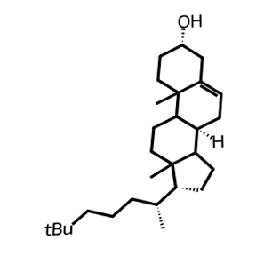 C[C@H](CCCC(C)(C)C)[C@H]1CCC2[C@@H]3CC=C4C[C@@H](O)CCC4(C)C3CCC21C